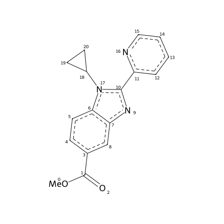 COC(=O)c1ccc2c(c1)nc(-c1ccccn1)n2C1CC1